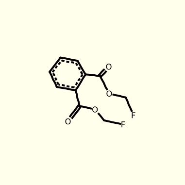 O=C(OCF)c1ccccc1C(=O)OCF